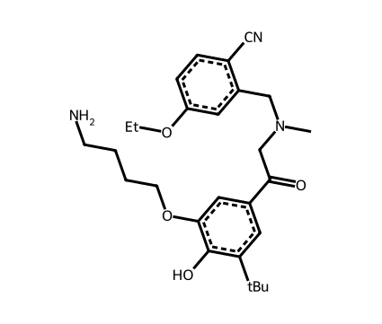 CCOc1ccc(C#N)c(CN(C)CC(=O)c2cc(OCCCCN)c(O)c(C(C)(C)C)c2)c1